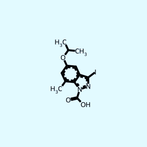 Cc1cc(OC(C)C)cc2c(I)nn(C(=O)O)c12